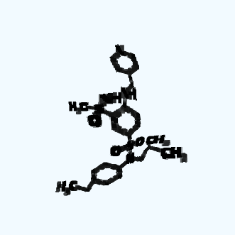 CCc1ccc(N(CC(C)C)S(=O)(=O)c2ccc(NCc3ccncc3)c(S(C)(=N)=O)c2)cc1